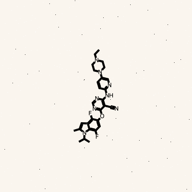 CCN1CCN(c2ccc(Nc3ncnc(Oc4cc(F)c5c(cc(C)n5C(C)C)c4F)c3C#N)nc2)CC1